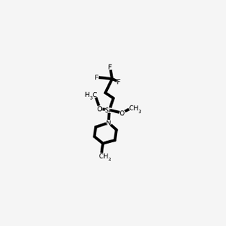 CO[Si](CCC(F)(F)F)(OC)N1CCC(C)CC1